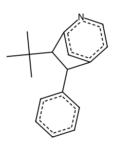 CC(C)(C)C1c2cc(ccn2)C1c1ccccc1